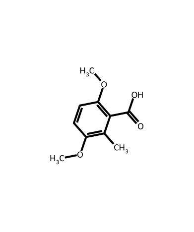 COc1ccc(OC)c(C(=O)O)c1C